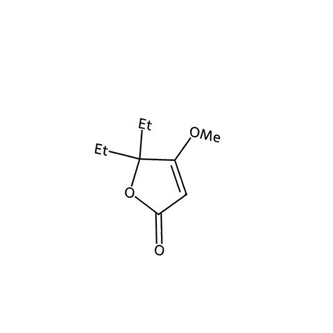 CCC1(CC)OC(=O)C=C1OC